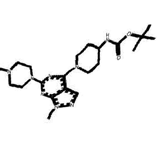 CN1CCN(c2nc(N3CCC(NC(=O)OC(C)(C)C)CC3)c3cnn(C)c3n2)CC1